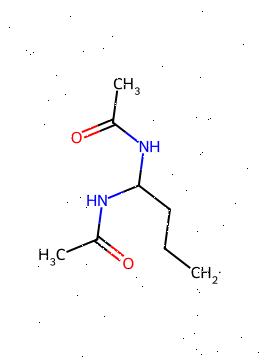 [CH2]CCC(NC(C)=O)NC(C)=O